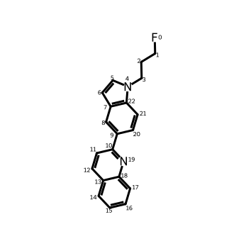 FCCCn1ccc2cc(-c3ccc4ccccc4n3)ccc21